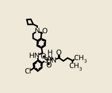 CC(C)CCC(=O)NNS(=O)(=O)c1ccc(Cl)cc1NCc1ccc2c(c1)CCN(CC1CCC1)C2=O